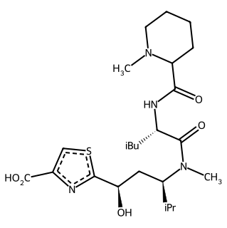 CCC(C)[C@H](NC(=O)C1CCCCN1C)C(=O)N(C)[C@H](C[C@@H](O)c1nc(C(=O)O)cs1)C(C)C